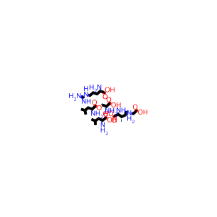 CC(C)C[C@H](N)C(=O)O.CC(C)C[C@H](N)C(=O)OC[C@H](N)C(=O)O.CC[C@H](C)[C@H](N)C(=O)O.N=C(N)NCCC[C@H](N)C(=O)O.NCC(=O)O